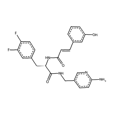 Nc1ccc(CNC(=O)[C@H](Cc2ccc(F)c(F)c2)NC(=O)C=Cc2cccc(O)c2)cn1